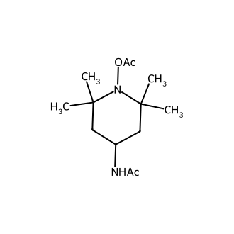 CC(=O)NC1CC(C)(C)N(OC(C)=O)C(C)(C)C1